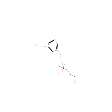 COc1cccc(CN=NC(C)(O)CCCN)c1